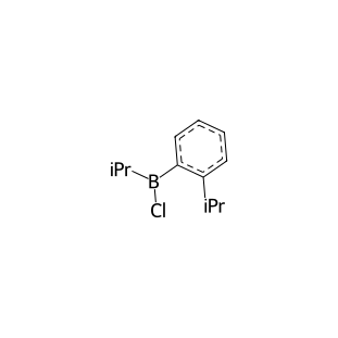 CC(C)B(Cl)c1ccccc1C(C)C